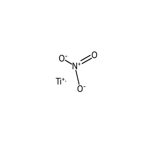 O=[N+]([O-])[O-].[Ti+]